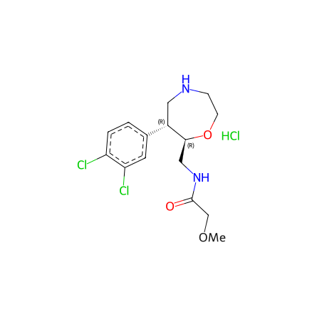 COCC(=O)NC[C@@H]1OCCNC[C@H]1c1ccc(Cl)c(Cl)c1.Cl